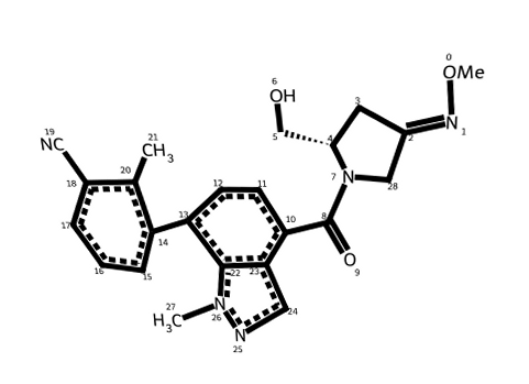 CO/N=C1\C[C@@H](CO)N(C(=O)c2ccc(-c3cccc(C#N)c3C)c3c2cnn3C)C1